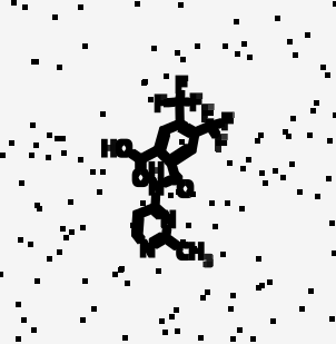 Cc1nccc(NC(=O)c2cc(C(F)(F)F)c(C(F)(F)F)cc2C(=O)O)n1